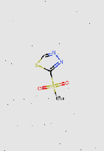 CC(C)(C)S(=O)(=O)c1nncs1